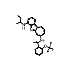 CCC(C)Nc1cccc2c3cccc(NC(=O)c4ccccc4OC(F)(F)F)cc-3nc12